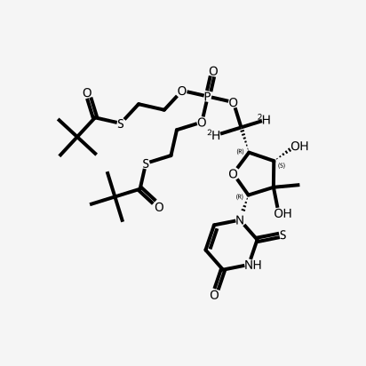 [2H]C([2H])(OP(=O)(OCCSC(=O)C(C)(C)C)OCCSC(=O)C(C)(C)C)[C@H]1O[C@@H](n2ccc(=O)[nH]c2=S)C(C)(O)[C@H]1O